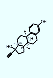 C#CC1(O)CC[C@@H]2[C@@H]3CCc4cc(O)ccc4[C@@H]3CC[C@@]21C